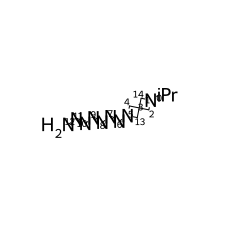 CC(C)N1CC2(CN(N=NN=NN=NN)C2)C1